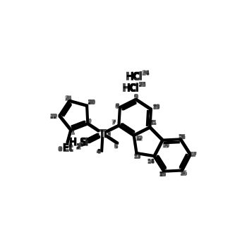 CCC1=[C]([Ti]([CH3])([CH3])(=[SiH2])[c]2cccc3c2Cc2ccccc2-3)CC=C1.Cl.Cl